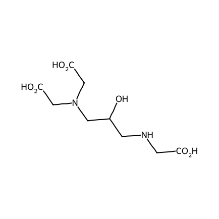 O=C(O)CNCC(O)CN(CC(=O)O)CC(=O)O